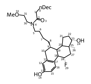 CCCCCCCCCCCC(=O)N(CCCC[C@@H]1Cc2cc(O)ccc2C2C1C1CC[C@H](O)[C@@]1(C)C[C@@H]2F)CCOC